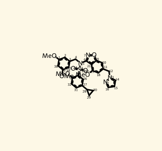 COc1cc(CN(c2noc3cc(Cn4cccn4)cc(OC)c23)S(=O)(=O)c2cc(C3CC3)ccc2OC)cc(OC)c1